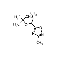 CCC(OC(C)(C)C)c1nc(C)no1